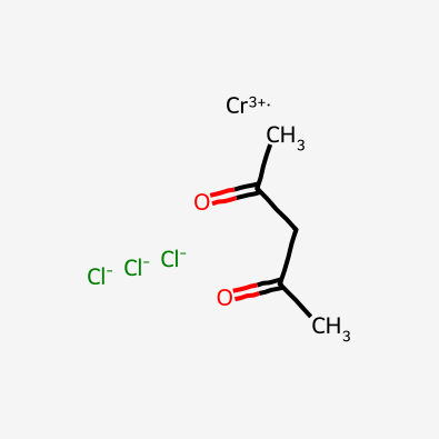 CC(=O)CC(C)=O.[Cl-].[Cl-].[Cl-].[Cr+3]